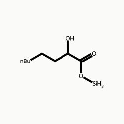 CCCCCCC(O)C(=O)O[SiH3]